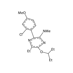 CCc1nc(-c2ccc(OC)cc2Cl)c(NC)nc1OC(CC)CC